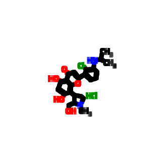 CC(C)Nc1cccc(-c2cc(=O)c3c(O)cc(O)c(C4CCN(C)C4CO)c3o2)c1Cl.Cl